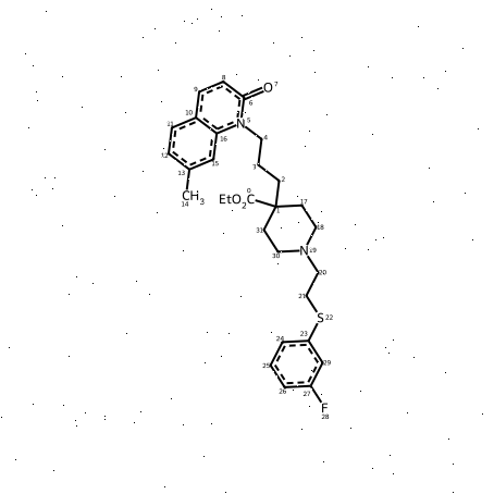 CCOC(=O)C1(CCCn2c(=O)ccc3ccc(C)cc32)CCN(CCSc2cccc(F)c2)CC1